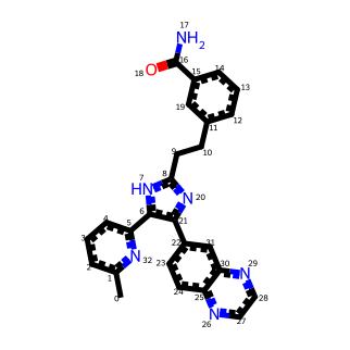 Cc1cccc(-c2[nH]c(CCc3cccc(C(N)=O)c3)nc2-c2ccc3nccnc3c2)n1